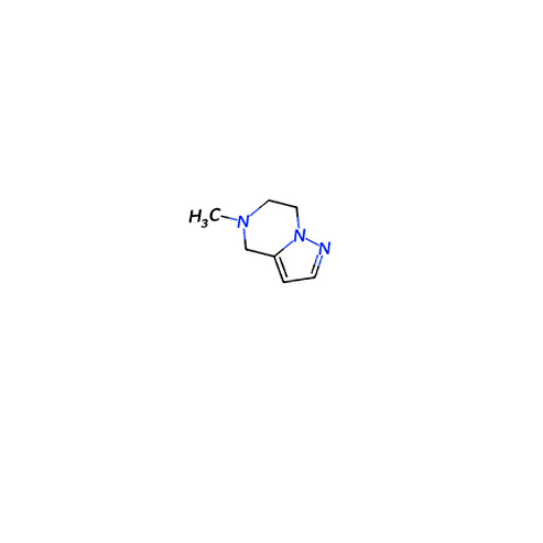 CN1CCn2nccc2C1